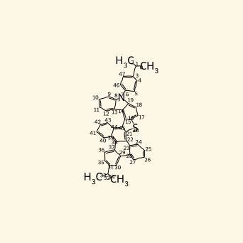 CC(C)c1ccc(-n2c3ccccc3c3c4c(ccc32)sc2c3c5ccccc5c5cc(C(C)C)ccc5c3c3ccccc3c24)cc1